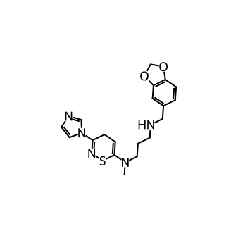 CN(CCCNCc1ccc2c(c1)OCO2)C1=CCC(n2ccnc2)=NS1